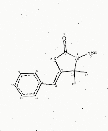 CCCCN1C(=O)S/C(=C\c2ccccc2)C1(C)C